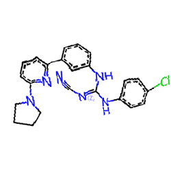 N#C/N=C(/Nc1ccc(Cl)cc1)Nc1cccc(-c2cccc(N3CCCC3)n2)c1